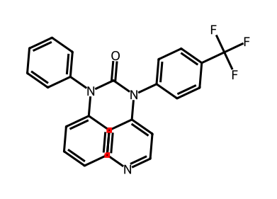 O=C(N(c1ccccc1)c1ccccc1)N(c1ccncc1)c1ccc(C(F)(F)F)cc1